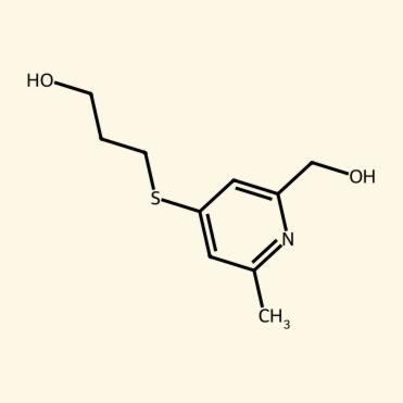 Cc1cc(SCCCO)cc(CO)n1